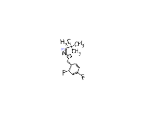 CC(C)(C)/[C]=N\OCc1ccc(F)cc1F